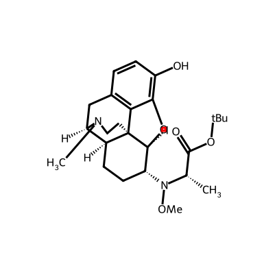 CON([C@@H]1CC[C@H]2[C@H]3Cc4ccc(O)c5c4[C@@]2(CCN3C)[C@H]1O5)[C@@H](C)C(=O)OC(C)(C)C